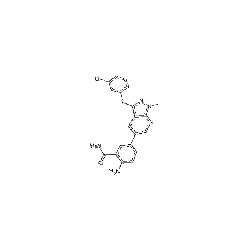 CNC(=O)c1cc(-c2cnc3c(c2)c(Cc2cccc(Cl)c2)nn3C)ccc1N